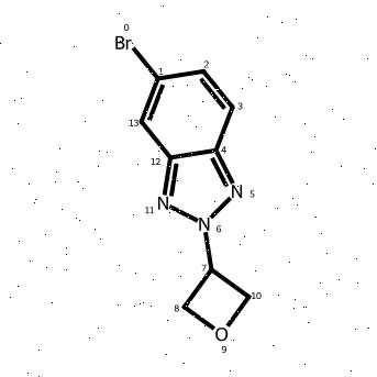 Brc1ccc2nn(C3COC3)nc2c1